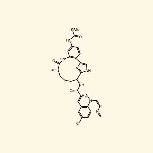 C=N/N=C\N(N)c1ccc(Cl)cc1/C=C/C(=O)N[C@H]1CCC[C@@H](C)C(=O)Nc2cc(NC(=O)OC)ccc2-c2c[nH]c1n2